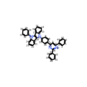 c1ccc(-c2cc(-c3ccc(-n4c5ccccc5c5c4c4ccccc4n5-c4ccccc4)cc3)nc(-c3ccccc3)n2)cc1